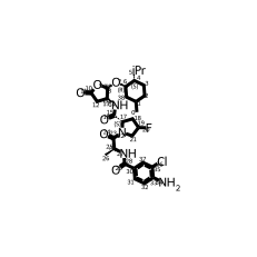 CC1CC[C@@H](C(C)C)[C@H](O[C@@H]2OC(=O)C[C@@H]2NC(=O)[C@@H]2CC(F)CN2C(=O)[C@H](C)NC(=O)c2ccc(N)c(Cl)c2)C1